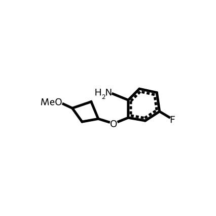 COC1CC(Oc2cc(F)ccc2N)C1